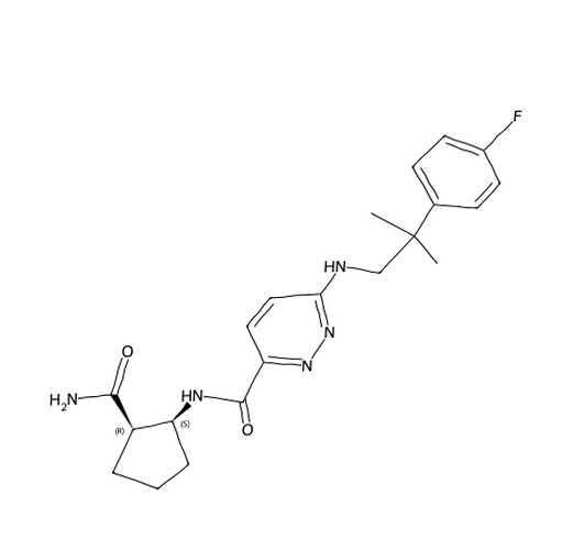 CC(C)(CNc1ccc(C(=O)N[C@H]2CCC[C@H]2C(N)=O)nn1)c1ccc(F)cc1